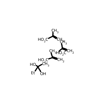 C=C(C)C(=O)O.C=C(C)C(=O)O.C=C(C)C(=O)O.CCC(C)(O)O